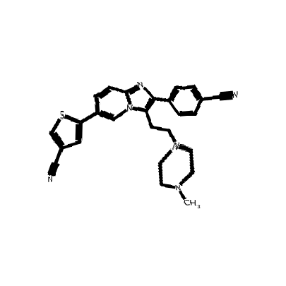 CN1CCN(CCc2c(-c3ccc(C#N)cc3)nc3ccc(-c4cc(C#N)cs4)cn23)CC1